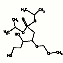 COCOC(CP(=O)(OC(C)C)OC(C)C)C(O)CCO